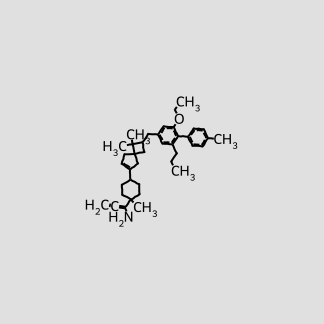 C=C=C(N)C1(C)CCC(C2=CCC3(C2)CC(Cc2cc(CCC)c(-c4ccc(C)cc4)c(OCC)c2)C3(C)C)CC1